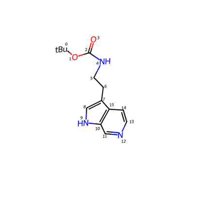 CC(C)(C)OC(=O)NCCc1c[nH]c2cnccc12